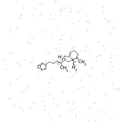 CC1=CCC[C@H](C)[C@]1(C)CC/C(C)=C/CCc1ccoc1